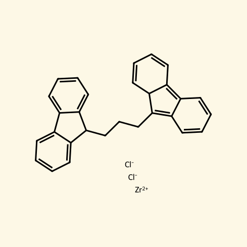 C1=CC2=c3ccccc3=C(CCCC3c4ccccc4-c4ccccc43)C2C=C1.[Cl-].[Cl-].[Zr+2]